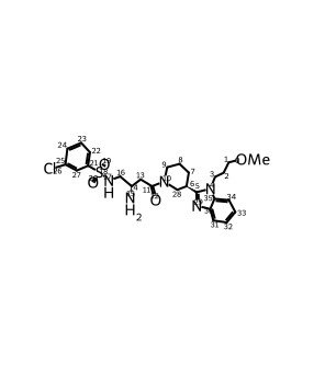 COCCCn1c([C@@H]2CCCN(C(=O)C[C@H](N)CNS(=O)(=O)c3cccc(Cl)c3)C2)nc2ccccc21